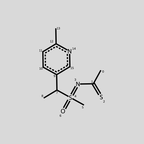 CC(=S)N=S(C)(=O)C(C)c1ccc(C)nc1